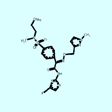 COCCN(C)S(=O)(=O)c1ccc(/C(=N\OCc2ccn(C)n2)C(=O)Nc2ncc(F)s2)cc1